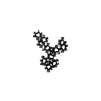 c1ccc(-c2cccc3c(-c4ccc(N(c5ccc(-c6cccc7ccccc67)cc5)c5ccc6c(c5)-c5ccccc5C6(c5ccccc5)c5ccccc5)cc4)cccc23)cc1